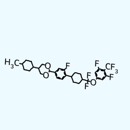 CC1CCC(C2COC(c3ccc(C4CCC(C(F)(F)Oc5cc(F)c(C(F)(F)F)c(F)c5)CC4)c(F)c3)OC2)CC1